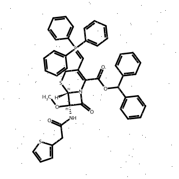 CO[C@]1(NC(=O)Cc2cccs2)C(=O)N2C(C(=O)OC(c3ccccc3)c3ccccc3)=C(C=P(c3ccccc3)(c3ccccc3)c3ccccc3)CS[C@H]21